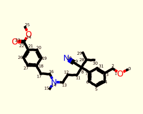 COCc1cccc(C(C#N)(CCCN(C)CCc2ccc(C(=O)OC)cc2)C(C)C)c1